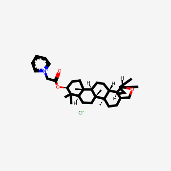 CC1(C)CC[C@]23CC[C@]4(C)[C@H](CC[C@@H]5[C@@]6(C)CC[C@H](OC(=O)C[n+]7ccccc7)C(C)(C)[C@@H]6CC[C@]54C)[C@H]2[C@H]1OC3.[Cl-]